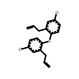 C=CCc1cc(Cl)ccc1Sc1ccc(Cl)cc1CC=C